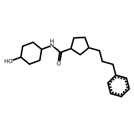 O=C(NC1CCC(O)CC1)C1CCC(CCCc2ccccc2)C1